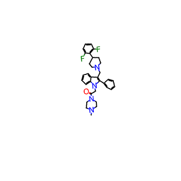 CN1CCN(C(=O)Cn2c(-c3ccccc3)c(CN3CCC(c4c(F)cccc4F)CC3)c3ccccc32)CC1